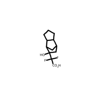 O=C(O)C(F)(F)C1(O)CC2CC1C1CCCC21